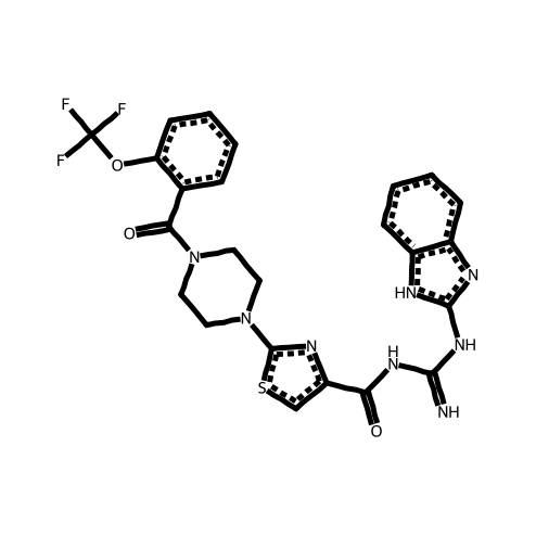 N=C(NC(=O)c1csc(N2CCN(C(=O)c3ccccc3OC(F)(F)F)CC2)n1)Nc1nc2ccccc2[nH]1